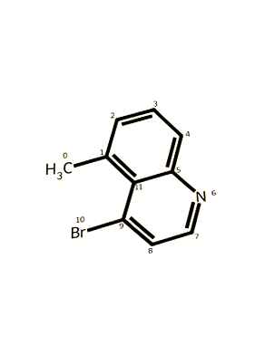 Cc1cccc2nccc(Br)c12